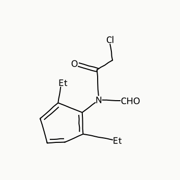 CCc1cccc(CC)c1N(C=O)C(=O)CCl